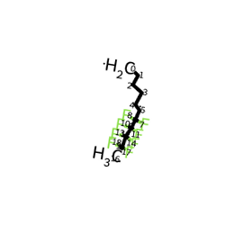 [CH2]CCCC[CH]C(F)(F)C(F)(F)C(F)(F)C(C)(F)F